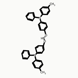 Cc1ccc(N(c2ccccc2)c2ccc(OBOc3ccc(N(c4ccccc4)c4ccc(C)cc4)cc3)cc2)cc1